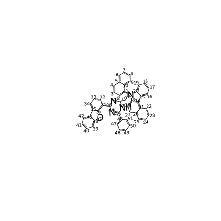 CC1(c2ccc3ccccc3c2-n2c3c(c4ccccc42)=C2C=CC=CC2CC=3)N=C(c2cccc3c2oc2ccccc23)N=C(c2ccccc2)N1